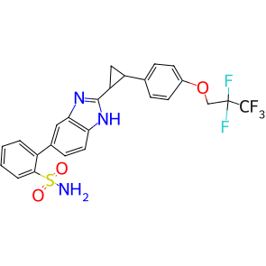 NS(=O)(=O)c1ccccc1-c1ccc2[nH]c(C3CC3c3ccc(OCC(F)(F)C(F)(F)F)cc3)nc2c1